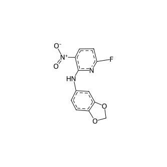 O=[N+]([O-])c1ccc(F)nc1Nc1ccc2c(c1)OCO2